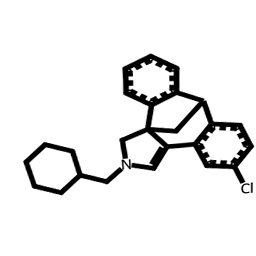 Clc1ccc2c(c1)C1=CN(CC3CCCCC3)CC13CC2c1ccccc13